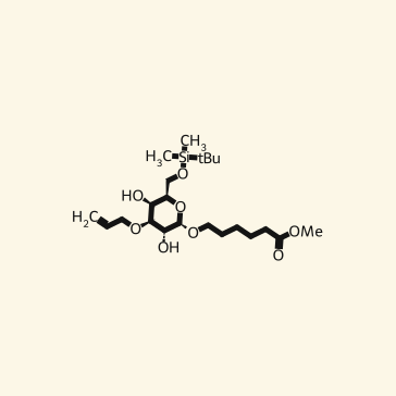 C=CCO[C@H]1[C@@H](O)[C@@H](CO[Si](C)(C)C(C)(C)C)O[C@H](OCCCCCC(=O)OC)[C@@H]1O